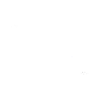 CCCc1ccc(C2CCC(/C=C/COC)CC2)cc1